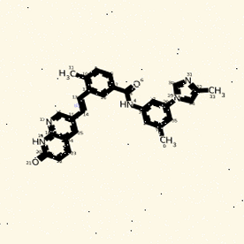 Cc1cc(NC(=O)c2ccc(C)c(/C=C/c3cnc4[nH]c(=O)ccc4c3)c2)cc(-n2cnc(C)c2)c1